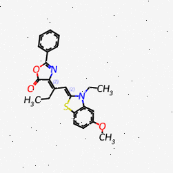 CCC(/C=C1\Sc2ccc(OC)cc2N1CC)=C1/N=C(c2ccccc2)OC1=O